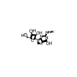 [N-]=[N+]=Nc1nc(O)c2ncn([C@@H]3O[C@H](CO)[C@@H](O)[C@H]3O)c2n1